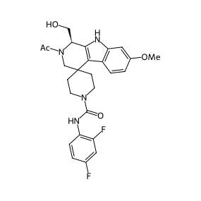 COc1ccc2c3c([nH]c2c1)[C@H](CO)N(C(C)=O)CC31CCN(C(=O)Nc2ccc(F)cc2F)CC1